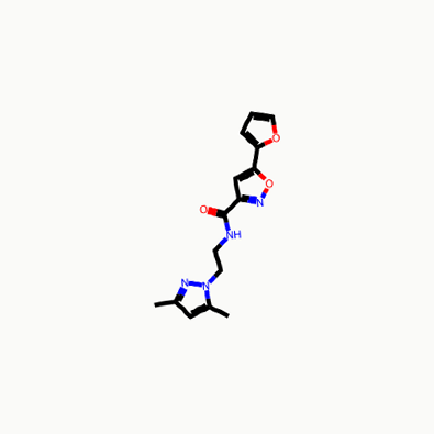 Cc1cc(C)n(CCNC(=O)c2cc(-c3ccco3)on2)n1